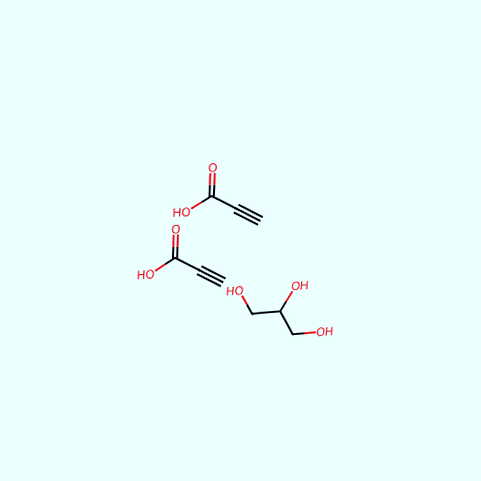 C#CC(=O)O.C#CC(=O)O.OCC(O)CO